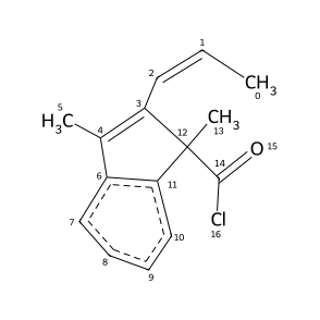 C/C=C\C1=C(C)c2ccccc2C1(C)C(=O)Cl